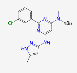 CCCCN(C)c1cc(Nc2cc(C)[nH]n2)nc(-c2cccc(Cl)c2)n1